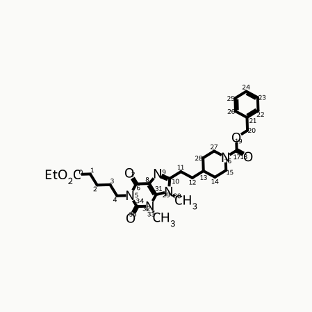 CCOC(=O)CCCCn1c(=O)c2nc(CCC3CCN(C(=O)OCc4ccccc4)CC3)n(C)c2n(C)c1=O